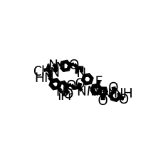 CNC(=O)COc1cc2cc(Nc3nc(N4CCC(OC5CN([C@H]6CC[C@@H](c7ccc8c(c7F)CN(C7CCC(=O)NC7=O)C8=O)CC6)C5)CC4)ncc3Cl)ccc2n(C(C)C)c1=O